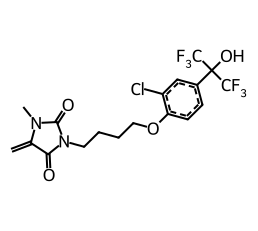 C=C1C(=O)N(CCCCOc2ccc(C(O)(C(F)(F)F)C(F)(F)F)cc2Cl)C(=O)N1C